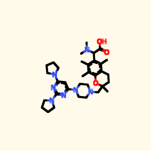 Cc1c(C)c(C(C(=O)O)N(C)C)c(C)c2c1OC(C)(CN1CCN(c3cc(N4CCCC4)nc(N4CCCC4)n3)CC1)CC2